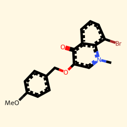 COc1ccc(COc2cn(C)c3c(Br)cccc3c2=O)cc1